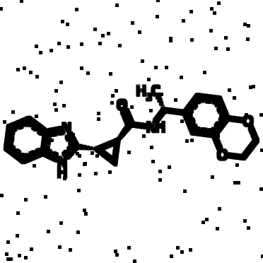 C[C@@H](NC(=O)[C@H]1C[C@@H]1c1nc2ccccc2[nH]1)c1ccc2c(c1)OCCO2